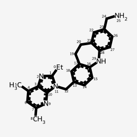 CCc1nc2c(C)cc(C)nc2n1Cc1ccc2c(c1)CCc1cc(CN)ccc1N2